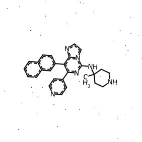 CC1(Nc2nc(-c3ccncc3)c(-c3ccc4ccccc4c3)c3nccn23)CCNCC1